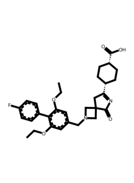 CCOc1cc(CN2CC3(CC([C@H]4CC[C@@H](C(=O)O)CC4)=NC3=O)C2)cc(OCC)c1-c1ccc(F)cc1